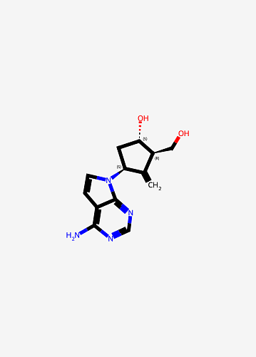 C=C1[C@H](CO)[C@@H](O)C[C@@H]1n1ccc2c(N)ncnc21